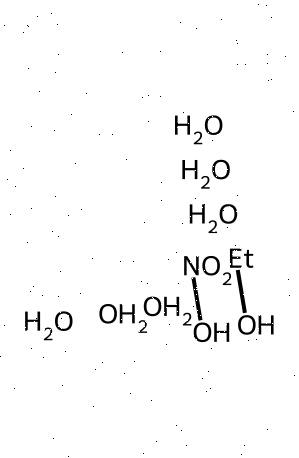 CCO.O.O.O.O.O.O.O=[N+]([O-])O